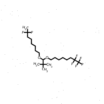 CC(F)(F)CCCCCCOC(OCCCCCCC(F)(F)C(F)(F)F)C(C)(C)C